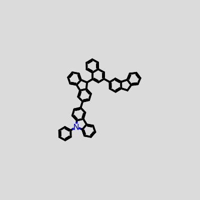 c1ccc(-n2c3ccccc3c3cc(-c4ccc5c(c4)-c4ccccc4C5c4cc(-c5ccc6c(c5)-c5ccccc5C6)cc5ccccc45)ccc32)cc1